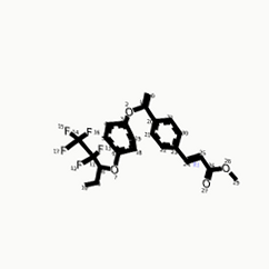 C=C(Oc1ccc(OC(CC)C(F)(F)C(F)(F)F)cc1)c1ccc(/C=C/C(=O)OC)cc1